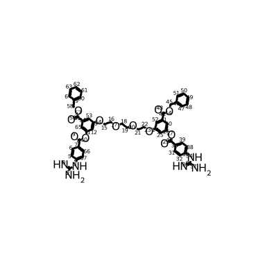 N=C(N)Nc1ccc(C(=O)Oc2cc(OCCOCCOCCOc3cc(OC(=O)c4ccc(NC(=N)N)cc4)cc(C(=O)OCc4ccccc4)c3)cc(C(=O)OCc3ccccc3)c2)cc1